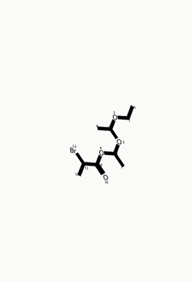 CCOC(C)OC(C)OC(=O)C(C)Br